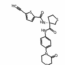 C#Cc1ccc(C(=O)N[C@]2(C(=O)Nc3ccc(N4CCOCC4=O)cc3)CCSC2)s1